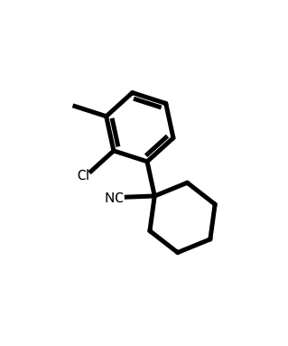 Cc1cccc(C2(C#N)CCCCC2)c1Cl